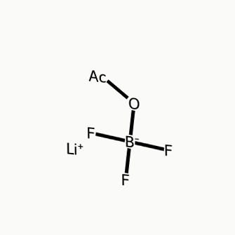 CC(=O)O[B-](F)(F)F.[Li+]